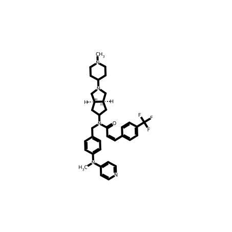 CN1CCC(N2C[C@H]3CC(N(Cc4ccc(N(C)c5ccncc5)cc4)C(=O)C=Cc4ccc(C(F)(F)F)cc4)C[C@H]3C2)CC1